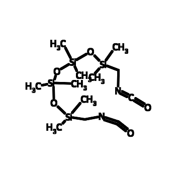 C[Si](C)(CN=C=O)O[Si](C)(C)O[Si](C)(C)O[Si](C)(C)CN=C=O